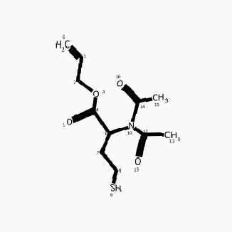 C=CCOC(=O)C(CCS)N(C(C)=O)C(C)=O